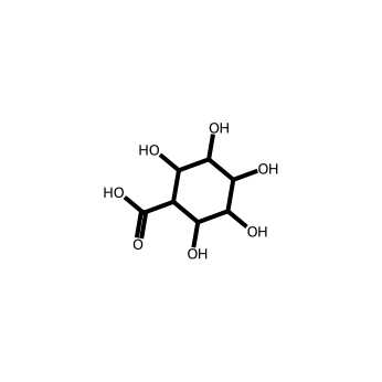 O=C(O)C1C(O)C(O)C(O)C(O)C1O